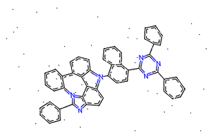 c1ccc(-c2nc(-c3ccccc3)nc(-c3ccc(-n4c5cccc6c7ccccc7n7c(-c8ccccc8)nc8ccc4c(c65)c87)c4ccccc34)n2)cc1